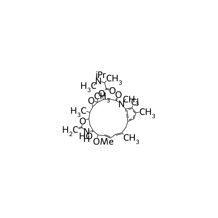 C=C1NC2(O)CC(O1)C(C)C1OC1(C)C(OC(=O)C(C)N(C)C(C)C)CC(=O)N(C)c1cc(cc(C)c1Cl)C/C(C)=C/C=C/C2OC